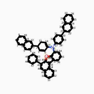 C1=CC(c2ccc3ccccc3c2)CC=C1N(c1ccc(-c2ccc3ccccc3c2)cc1)c1cccc2c1oc1c(-c3ccccc3)cc3ccccc3c12